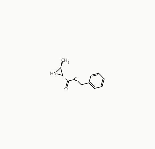 C[C@@H]1N[C@H]1C(=O)OCc1ccccc1